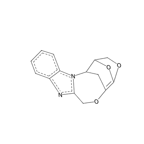 c1ccc2c(c1)nc1n2C2CC(=C3OCC2O3)OC1